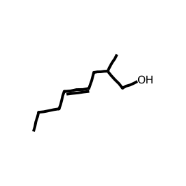 CCCC=CCC(C)CO